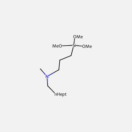 CCCCCCCCN(C)CCC[Si](OC)(OC)OC